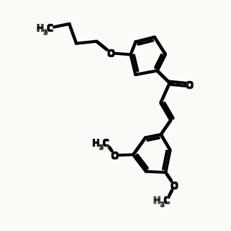 CCCCOc1cccc(C(=O)C=Cc2cc(OC)cc(OC)c2)c1